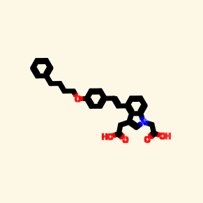 O=C(O)Cc1cn(CC(=O)O)c2cccc(C=Cc3ccc(OCCCCc4ccccc4)cc3)c12